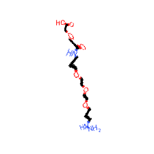 NNCCCOCCOCCOCCCNC(=O)COCC(=O)O